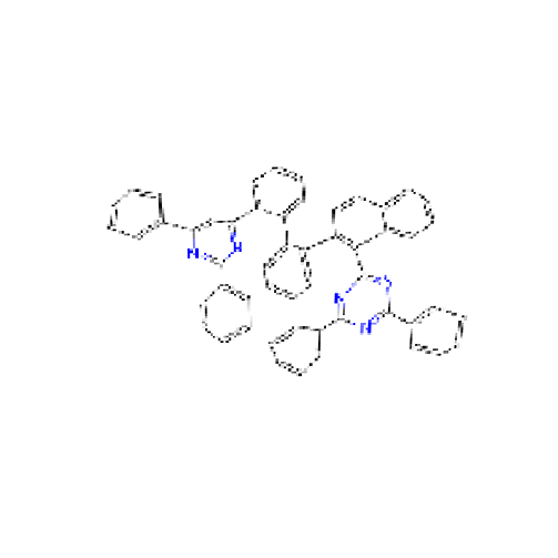 c1ccc(-c2cc(-c3ccccc3-c3ccccc3-c3ccc4ccccc4c3-c3nc(-c4ccccc4)nc(-c4ccccc4)n3)nc(-c3ccccc3)n2)cc1